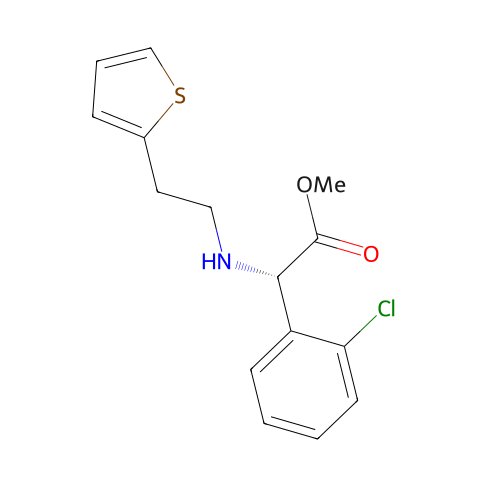 COC(=O)[C@@H](NCCc1cccs1)c1ccccc1Cl